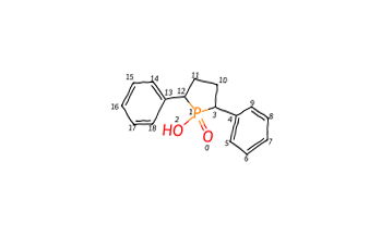 O=P1(O)C(c2ccccc2)CCC1c1ccccc1